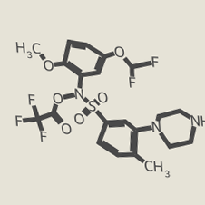 COc1ccc(OC(F)F)cc1N(OC(=O)C(F)(F)F)S(=O)(=O)c1ccc(C)c(N2CCNCC2)c1